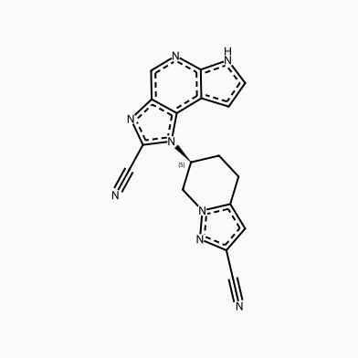 N#Cc1cc2n(n1)C[C@@H](n1c(C#N)nc3cnc4[nH]ccc4c31)CC2